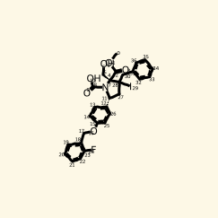 COC(=O)[C@@]1(CO)N(C(=O)O)[C@@H](c2ccc(OCc3ccccc3F)cc2)CC1(I)Cc1ccccc1